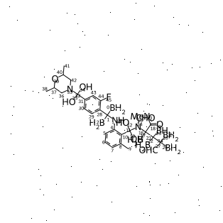 BC(B)(Nc1cccc(C)c1C(O)(O)N(C=O)C(B)(C(=O)NC)C(B)(B)C(B)(B)C=O)c1ccc(C(O)(O)N2CC(C)OC(C)C2)cc1F